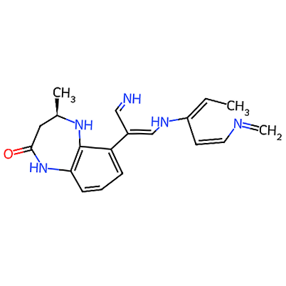 C=N/C=C\C(=C/C)N/C=C(\C=N)c1cccc2c1N[C@H](C)CC(=O)N2